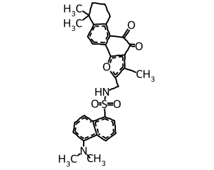 Cc1c(CNS(=O)(=O)c2cccc3c(N(C)C)cccc23)oc2c1C(=O)C(=O)c1c-2ccc2c1CCCC2(C)C